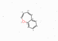 C1=COc2ccccc2C=C1